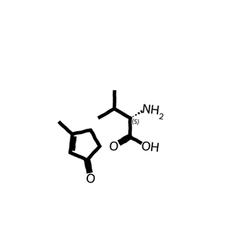 CC(C)[C@H](N)C(=O)O.CC1=CC(=O)CC1